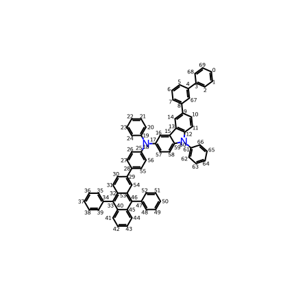 c1ccc(-c2cccc(-c3ccc4c(c3)c3cc(N(c5ccccc5)c5ccc(-c6ccc7c(-c8ccccc8)c8ccccc8c(-c8ccccc8)c7c6)cc5)ccc3n4-c3ccccc3)c2)cc1